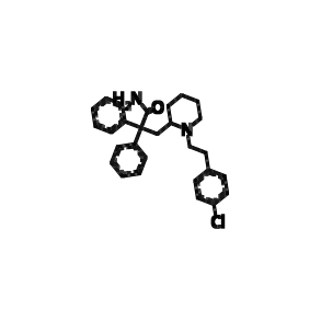 NC(=O)C(CC1CCCCN1CCc1ccc(Cl)cc1)(c1ccccc1)c1ccccc1